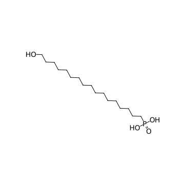 O=P(O)(O)CCCCCCCCCCCCCCCCCO